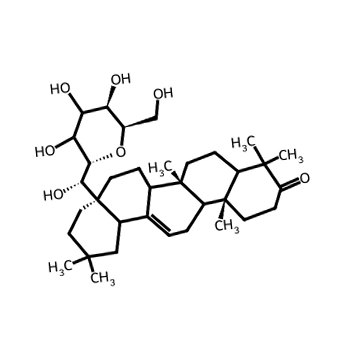 CC1(C)CC[C@]2([C@H](O)[C@H]3O[C@H](CO)[C@H](O)C(O)C3O)CCC3C(=CCC4[C@@]3(C)CCC3C(C)(C)C(=O)CC[C@@]34C)C2C1